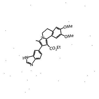 CCOC(=O)c1c(-c2ccc3nc[nH]c3c2)c(C)n2c1-c1cc(OC)c(OC)cc1CC2